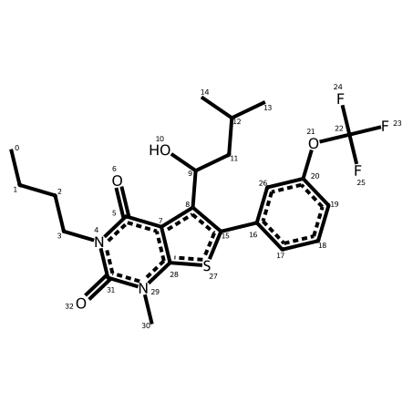 CCCCn1c(=O)c2c(C(O)CC(C)C)c(-c3cccc(OC(F)(F)F)c3)sc2n(C)c1=O